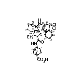 CCN1C(C(=O)NC23CCC(C(=O)O)(CC2)CC3)[C@H](c2cccc(Cl)c2F)[C@]2(C(=O)Nc3cc(Cl)ccc32)C12CCCCC2